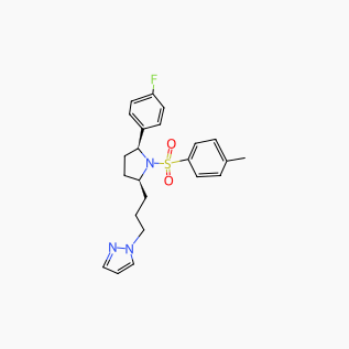 Cc1ccc(S(=O)(=O)N2[C@@H](CCCn3cccn3)CC[C@H]2c2ccc(F)cc2)cc1